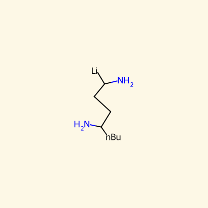 [Li][CH](N)CCC(N)CCCC